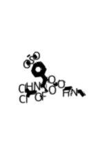 CCNCCOC(=O)O[C@H](c1ccc(S(C)(=O)=O)cc1)[C@@H](CF)NC(=O)C(Cl)Cl